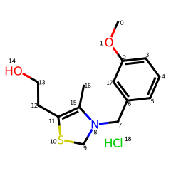 COc1cccc(CN2CSC(CCO)=C2C)c1.Cl